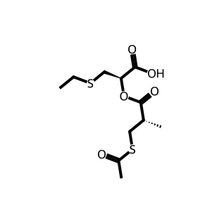 CCSC[C@H](OC(=O)[C@H](C)CSC(C)=O)C(=O)O